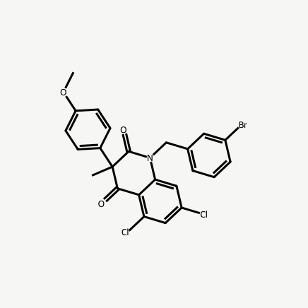 COc1ccc(C2(C)C(=O)c3c(Cl)cc(Cl)cc3N(Cc3cccc(Br)c3)C2=O)cc1